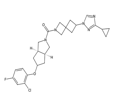 O=C(N1C[C@H]2CC(Oc3ccc(F)cc3Cl)C[C@H]2C1)N1CC2(CC(n3cnc(C4CC4)n3)C2)C1